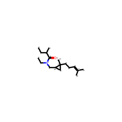 CCC(C)C(=O)N(CC)CC1CC1(C)CCC=C(C)C